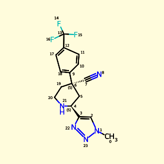 Cn1cc([C@@H]2C[C@](C#N)(c3ccc(C(F)(F)F)cc3)CCN2)nn1